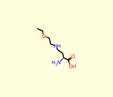 CCOCCNCC[C@H](N)C(=O)O